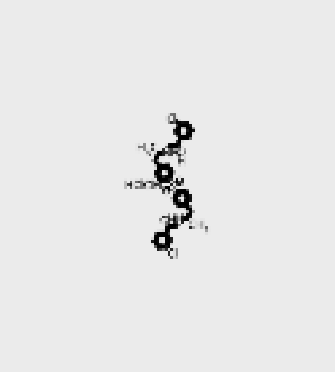 CC(Cc1ccc(S(=O)(=O)c2ccc(CC(C)NC[C@H](O)c3cccc(Cl)c3)cc2)cc1)NCC(O)c1cccc(Cl)c1.Cl.Cl